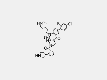 O=C([C@@H]1CCCN1C1CCNCC1)N1CCN2C(=O)c3cc(-c4ccc(Cl)cc4F)ccc3N(CCC3CCNCC3)C(=O)[C@H]2C1